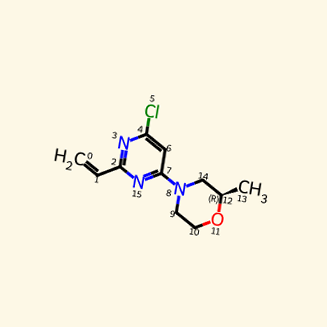 C=Cc1nc(Cl)cc(N2CCO[C@H](C)C2)n1